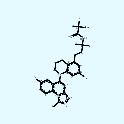 Cc1nnc2nc(N3CCCc4c(CCC(C)(C)NC(=O)C(F)(F)F)cc(F)cc43)c3cc(F)ccc3n12